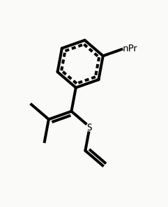 C=CSC(=C(C)C)c1cccc(CCC)c1